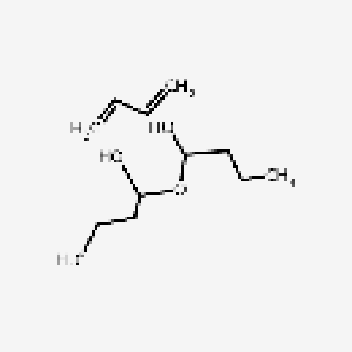 C=CC=C.CCCC(O)OC(O)CCC